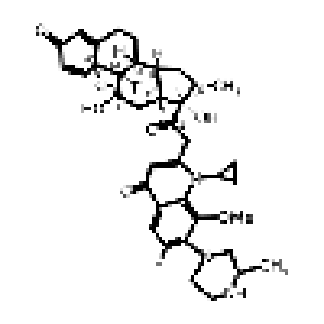 COc1c(N2CCNC(C)C2)c(F)cc2c(=O)cc(CC(=O)[C@]3(O)[C@@H](C)C[C@@H]4[C@H]5CCC6=CC(=O)C=C[C@@]6(C)[C@]5(F)[C@H](O)C[C@]43C)n(C3CC3)c12